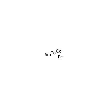 [Co].[Co].[Pr].[Sm]